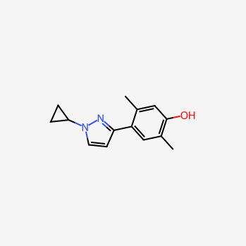 Cc1cc(-c2ccn(C3CC3)n2)c(C)cc1O